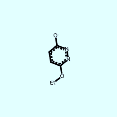 CCOc1ccc([O])nn1